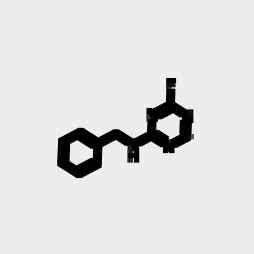 Fc1n[c]nc(NCc2ccccc2)n1